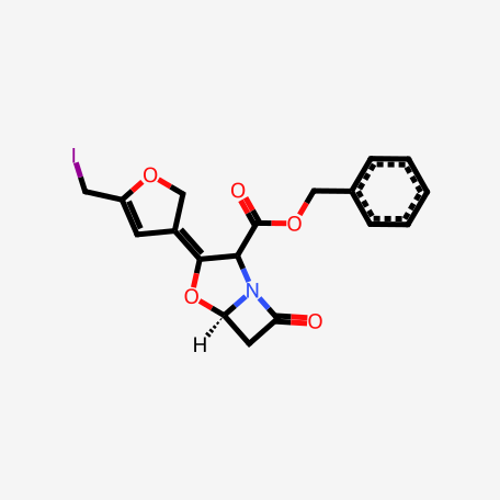 O=C(OCc1ccccc1)C1C(=C2C=C(CI)OC2)O[C@@H]2CC(=O)N12